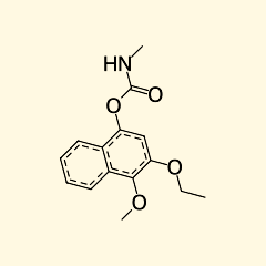 CCOc1cc(OC(=O)NC)c2ccccc2c1OC